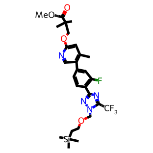 COC(=O)C(C)(C)COc1cc(C)c(-c2ccc(-c3nc(C(F)(F)F)n(COCC[Si](C)(C)C)n3)c(F)c2)cn1